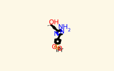 CC(C)S(=O)(=O)c1ccc(-c2cnc(N)c(C#C[C@H](C)O)n2)cc1